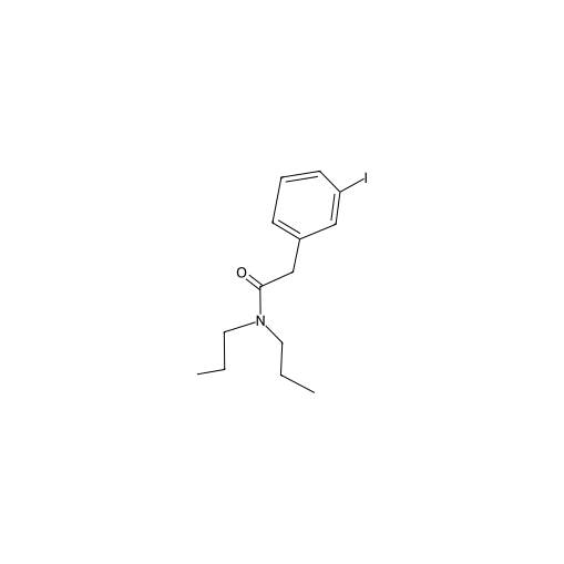 CCCN(CCC)C(=O)Cc1cccc(I)c1